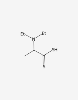 CCN(CC)C(C)C(=S)S